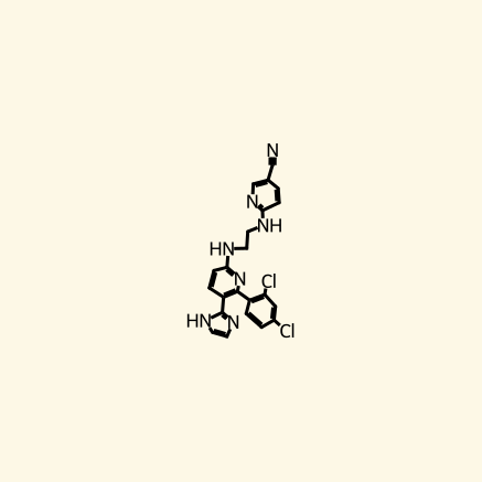 N#Cc1ccc(NCCNc2ccc(-c3ncc[nH]3)c(-c3ccc(Cl)cc3Cl)n2)nc1